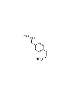 CC(C)(C)NCc1ccc(/C=C\C(=O)O)cc1